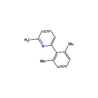 Cc1cccc(-c2c(C(C)(C)C)cccc2C(C)(C)C)n1